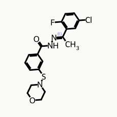 C/C(=N\NC(=O)c1cccc(SN2CCOCC2)c1)c1cc(Cl)ccc1F